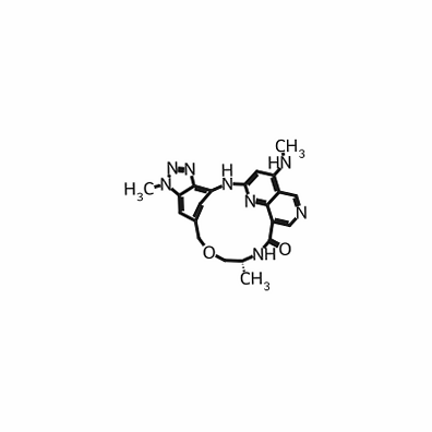 CNc1cc2nc3c(cncc13)C(=O)N[C@H](C)COCc1cc(c3nnn(C)c3c1)N2